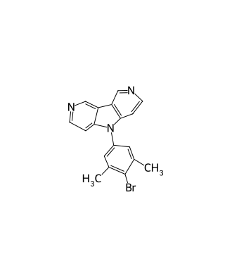 Cc1cc(-n2c3ccncc3c3cnccc32)cc(C)c1Br